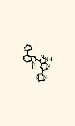 c1csc(-c2cccc3[nH]c(-c4n[nH]c5ncc(-c6cnccn6)cc45)cc23)c1